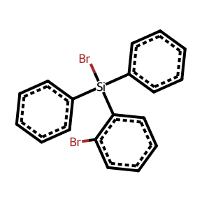 Brc1ccccc1[Si](Br)(c1ccccc1)c1ccccc1